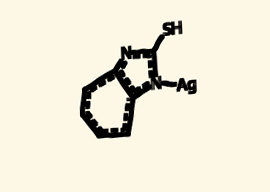 Sc1nc2ccccc2[n]1[Ag]